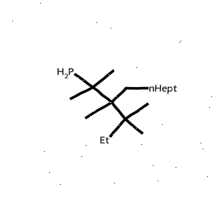 CCCCCCCCC(C)(C(C)(C)P)C(C)(C)CC